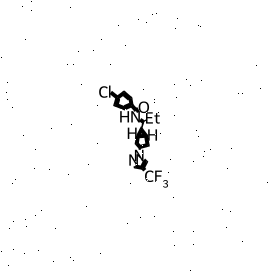 CC[C@@H](NC(=O)c1ccc(Cl)cc1)[C@H]1[C@@H]2C[C@@H](n3cc(C(F)(F)F)cn3)C[C@@H]21